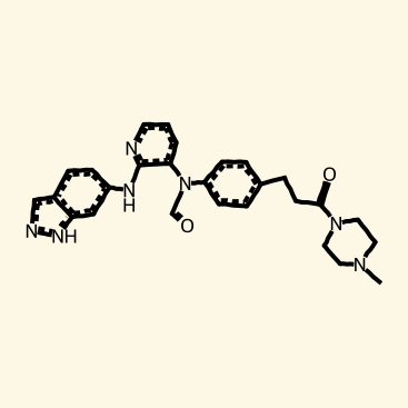 CN1CCN(C(=O)CCc2ccc(N(C=O)c3cccnc3Nc3ccc4cn[nH]c4c3)cc2)CC1